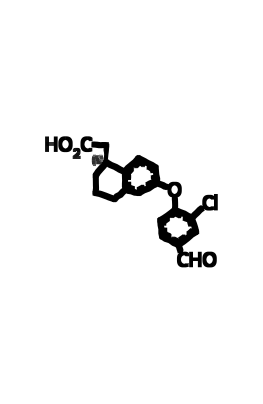 O=Cc1ccc(Oc2ccc3c(c2)CCC[C@H]3CC(=O)O)c(Cl)c1